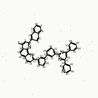 Cc1cc(-c2ccc3ccccc3c2)nc2c1ccc1ccc(-c3cccc(-c4cccc(-c5nc(-c6ccccc6)cc(-c6cccnc6)n5)c4)c3)nc12